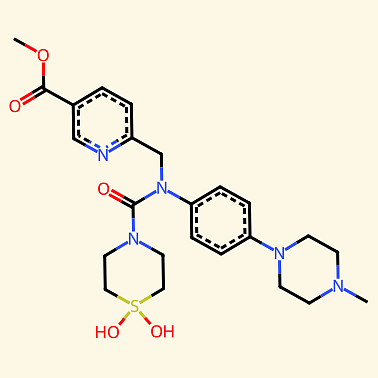 COC(=O)c1ccc(CN(C(=O)N2CCS(O)(O)CC2)c2ccc(N3CCN(C)CC3)cc2)nc1